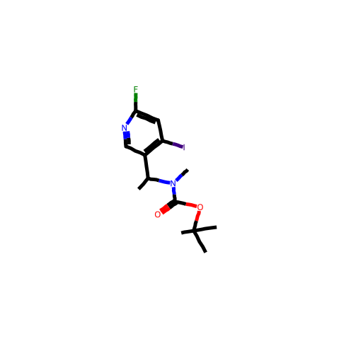 CC(c1cnc(F)cc1I)N(C)C(=O)OC(C)(C)C